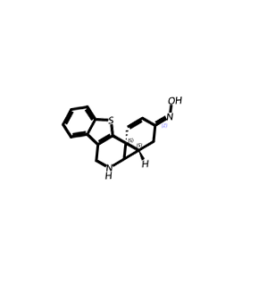 O/N=C1\C=C[C@@]23c4sc5ccccc5c4CNC2[C@H]3C1